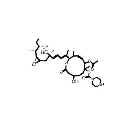 CC[C@H](O)[C@@H](C)[C@H]1O[C@@H]1C[C@@](C)(O)/C=C/C=C(\C)C1OC(=O)CC(O)CCC(C)(OC(=O)N2CCNCC2)C(OC(C)=O)/C=C\C1C